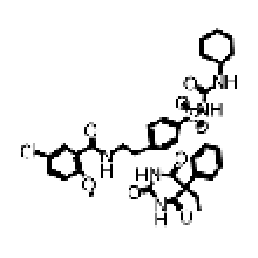 CCC1(c2ccccc2)C(=O)NC(=O)NC1=O.COc1ccc(Cl)cc1C(=O)NCCc1ccc(S(=O)(=O)NC(=O)NC2CCCCC2)cc1